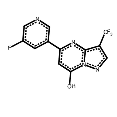 Oc1cc(-c2cncc(F)c2)nc2c(C(F)(F)F)cnn12